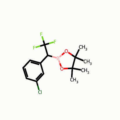 CC1(C)OB(C(c2cccc(Cl)c2)C(F)(F)F)OC1(C)C